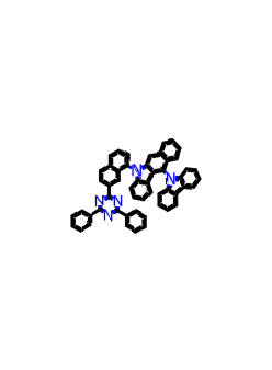 c1ccc(-c2nc(-c3ccccc3)nc(-c3ccc4cccc(-n5c6ccccc6c6c(-n7c8ccccc8c8ccccc87)c7ccccc7cc65)c4c3)n2)cc1